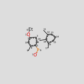 CCOc1ccc(P=O)c(C)c1.Cc1cccc(C)c1C